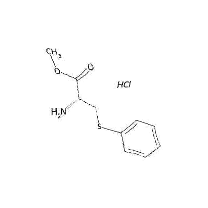 COC(=O)[C@@H](N)CSc1ccccc1.Cl